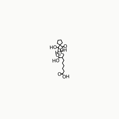 CCC(CCCCCC(=O)O)C(=O)O.O=C(O)C1(C(=O)O)CCCC1